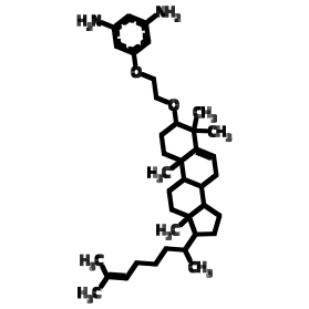 CC(C)=CCCCC(C)C1CCC2C3CC=C4C(C)(C)C(OCCOc5cc(N)cc(N)c5)CCC4(C)C3CCC12C